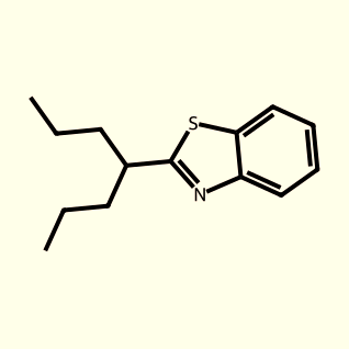 CCCC(CCC)c1nc2ccccc2s1